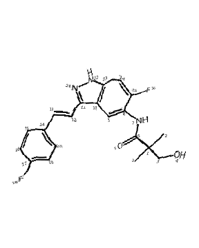 CC(C)(CO)C(=O)Nc1cc2c(C=Cc3ccc(F)cc3)n[nH]c2cc1F